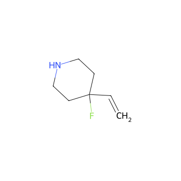 C=CC1(F)CCNCC1